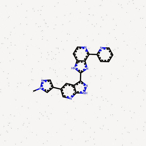 Cn1cc(-c2cnc3[nH]nc(-c4nc5c(-c6ccccn6)nccc5[nH]4)c3c2)cn1